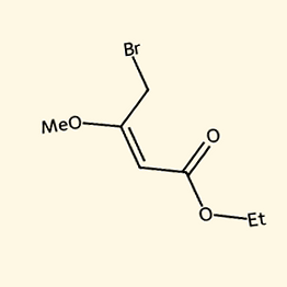 CCOC(=O)C=C(CBr)OC